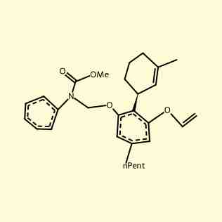 C=COc1cc(CCCCC)cc(OCN(C(=O)OC)c2ccccc2)c1[C@@H]1C=C(C)CCC1